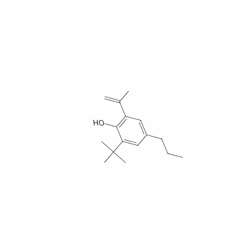 C=C(C)c1cc(CCC)cc(C(C)(C)C)c1O